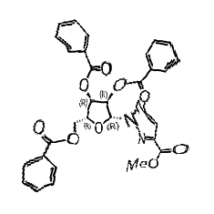 COC(=O)c1cnn([C@@H]2O[C@H](COC(=O)c3ccccc3)[C@@H](OC(=O)c3ccccc3)[C@H]2OC(=O)c2ccccc2)n1